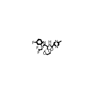 Cc1cnc(C(=O)N[C@H](c2nc3ccc(F)cc3n2CC(F)F)[C@H]2COCCO2)cn1